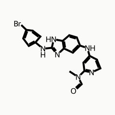 CN(C=O)c1cc(Nc2ccc3[nH]c(Nc4ccc(Br)cc4)nc3c2)ccn1